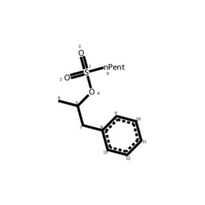 CCCCCS(=O)(=O)OC(C)Cc1ccccc1